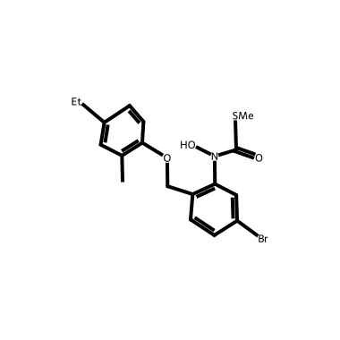 CCc1ccc(OCc2ccc(Br)cc2N(O)C(=O)SC)c(C)c1